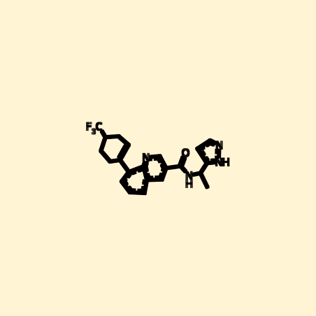 CC(NC(=O)c1cnc2c(C3=CCC(C(F)(F)F)CC3)cccc2c1)c1ccn[nH]1